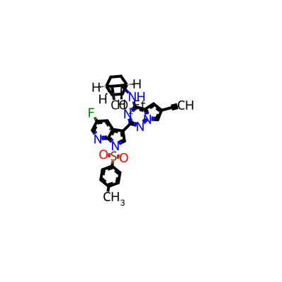 C#Cc1cc2c(N[C@H]3[C@H]4CC[C@H](CC4)[C@@H]3C(=O)OCC)nc(-c3cn(S(=O)(=O)c4ccc(C)cc4)c4ncc(F)cc34)nn2c1